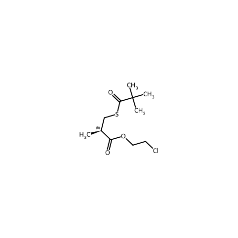 C[C@@H](CSC(=O)C(C)(C)C)C(=O)OCCCl